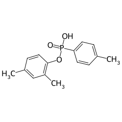 Cc1ccc(P(=O)(O)Oc2ccc(C)cc2C)cc1